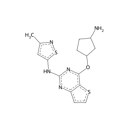 Cc1cc(Nc2nc(OC3CCC(N)C3)c3sccc3n2)sn1